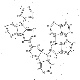 c1ccc(-n2c3ccccc3c3cc(-c4ccc5c6ccccc6n(-c6nc(-c7cccc8ccccc78)c7ccccc7n6)c5c4)ccc32)cc1